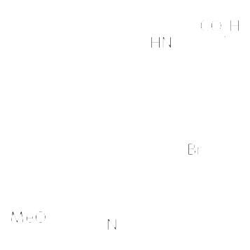 COc1cc(CCNC(=O)O)c(Br)cn1